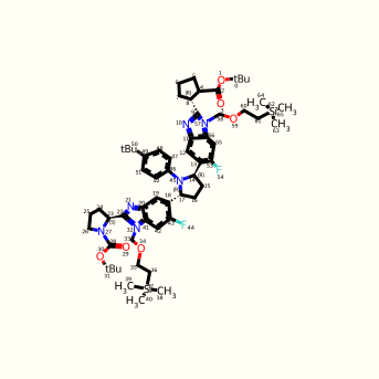 CC(C)(C)OC(=O)C1CCC[C@H]1c1nc2cc([C@H]3CC[C@H](c4cc5nc([C@@H]6CCCN6C(=O)OC(C)(C)C)n(COCC[Si](C)(C)C)c5cc4F)N3c3ccc(C(C)(C)C)cc3)c(F)cc2n1COCC[Si](C)(C)C